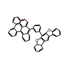 C1=CC2Oc3c(cc4c(oc5ccccc54)c3-c3cccc(-c4c5ccccc5c(-c5ccccc5-c5ccccc5)c5ccccc45)c3)C2C=C1